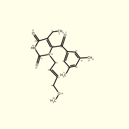 CCc1c(C(=O)c2cc(C)cc(C)c2)n(CC=CCOC)c(=O)[nH]c1=O